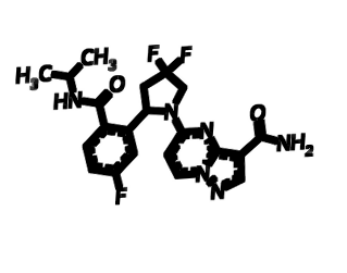 CC(C)NC(=O)c1ccc(F)cc1C1CC(F)(F)CN1c1ccn2ncc(C(N)=O)c2n1